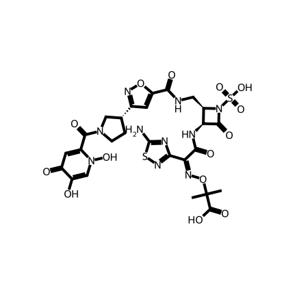 CC(C)(O/N=C(\C(=O)N[C@@H]1C(=O)N(S(=O)(=O)O)[C@@H]1CNC(=O)c1cc([C@@H]2CCN(C(=O)c3cc(=O)c(O)cn3O)C2)no1)c1nsc(N)n1)C(=O)O